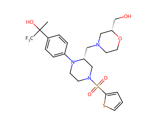 CC(O)(c1ccc(N2CCN(S(=O)(=O)c3cccs3)C[C@H]2CN2CCO[C@@H](CO)C2)cc1)C(F)(F)F